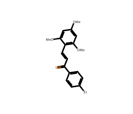 CCc1ccc(C(=S)C=Cc2c(OC)cc(OC)cc2OC)cc1